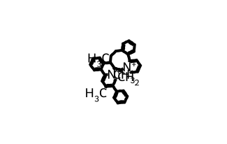 C=C1[n+]2ccccc2-c2ccccc2CCC2(C)c3ccccc3-c3cc(C)c(-c4ccccc4)c[n+]3C12C